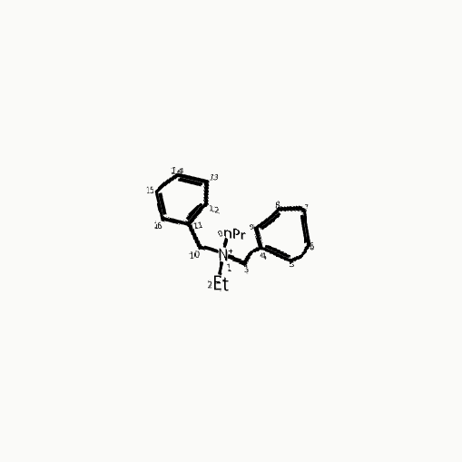 CCC[N+](CC)(Cc1ccccc1)Cc1ccccc1